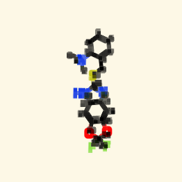 CN(C)c1ccccc1CSc1nc2cc3c(cc2[nH]1)OC(F)(F)O3